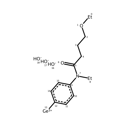 CCOCCCC(=O)N(CC)c1cc[c]([Ge+3])cc1.[OH-].[OH-].[OH-]